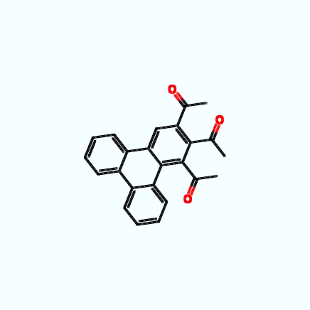 CC(=O)c1cc2c3ccccc3c3ccccc3c2c(C(C)=O)c1C(C)=O